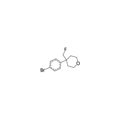 FCC1(c2ccc(Br)cc2)CCOCC1